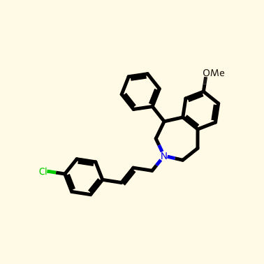 COc1ccc2c(c1)C(c1ccccc1)CN(CC=Cc1ccc(Cl)cc1)CC2